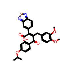 COc1ccc(CC(C(=O)c2ccc(OC(C)C)cc2)=C(C(=O)O)c2ccc3nsnc3c2)cc1OC